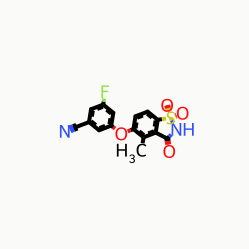 Cc1c(Oc2cc(F)cc(C#N)c2)ccc2c1C(=O)NS2(=O)=O